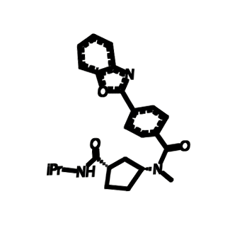 CC(C)NC(=O)[C@H]1CC[C@@H](N(C)C(=O)c2ccc(-c3nc4ccccc4o3)cc2)C1